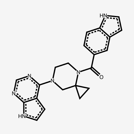 O=C(c1ccc2[nH]ccc2c1)N1CCN(c2ncnc3[nH]ccc23)CC12CC2